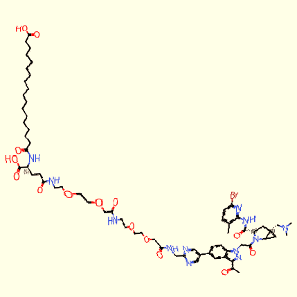 CC(=O)c1nn(CC(=O)N2C3C[C@]3(CN(C)C)C[C@H]2C(=O)Nc2nc(Br)ccc2C)c2ccc(-c3cnc(CNC(=O)COCCOCCNC(=O)COCCOCCNC(=O)CC[C@H](NC(=O)CCCCCCCCCCCCCCCCC(=O)O)C(=O)O)nc3)cc12